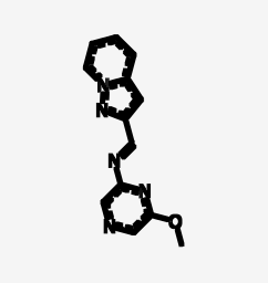 COc1cncc(N=Cc2cc3ccccn3n2)n1